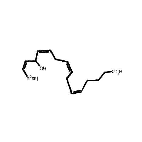 CCCCC/C=C\C(O)/C=C\C/C=C\C/C=C\CCCC(=O)O